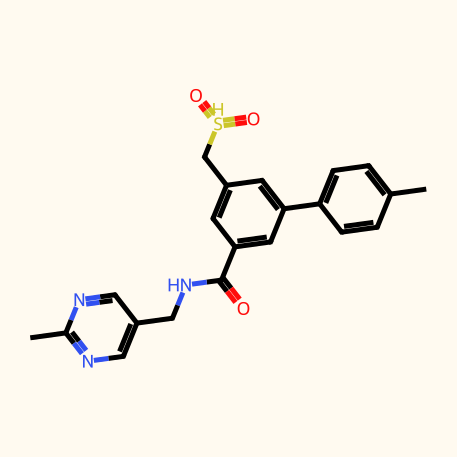 Cc1ccc(-c2cc(C[SH](=O)=O)cc(C(=O)NCc3cnc(C)nc3)c2)cc1